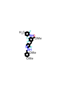 COC(=O)c1cc(Cc2ccnc(NCc3ccc(OC)cc3OC)c2F)c(F)c(F)c1Nc1ccc(C)cc1F